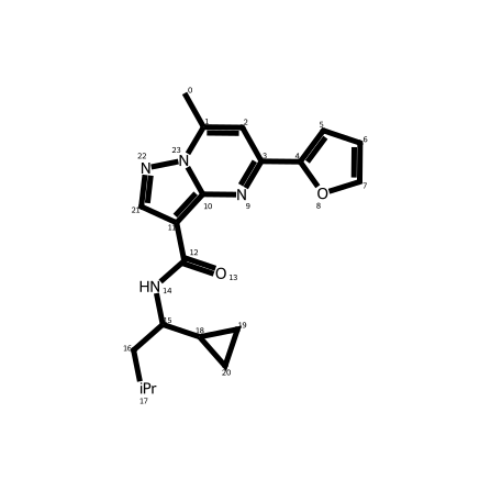 Cc1cc(-c2ccco2)nc2c(C(=O)NC(CC(C)C)C3CC3)cnn12